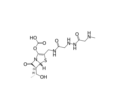 CNCC(=O)NNCC(=O)NCC1=C(OC(=O)O)N2C(=O)[C@H]([C@@H](C)O)[C@H]2S1